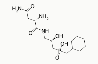 NC(=O)C[C@H](N)C(=O)NC[C@@H](O)CP(=O)(O)CC1CCCCC1